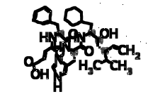 C=C[C@@H](C[C@@H](O)[C@H](CC1CCCCC1)NC(=O)[C@H](Cc1c[nH]cn1)NC(=O)[C@H](Cc1ccccc1)NC(=O)C=CC(=O)O)C(C)C